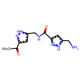 COC(=O)c1cc(CNC(=O)c2cc(CN)[nH]n2)[nH]n1